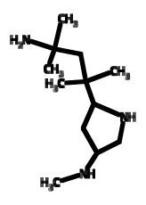 CNC1CNC(C(C)(C)CC(C)(C)N)C1